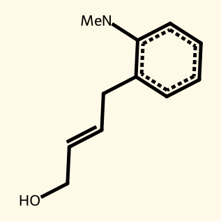 CNc1ccccc1CC=CCO